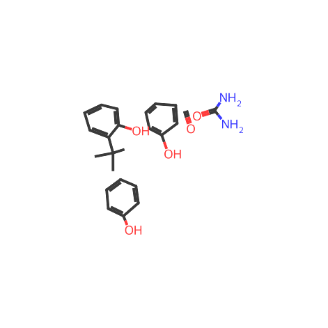 C=O.CC(C)(C)c1ccccc1O.NC(N)=O.Oc1ccccc1.Oc1ccccc1